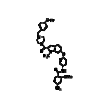 COc1cc(C(F)(F)F)ccc1C(=O)Nc1ccc(Oc2ccc3cc(C(=O)N4CCN(Cc5ccc(OC(C)C)cc5)CC4)n(C)c3c2)nc1